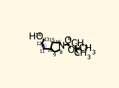 CC(C)(C)OC(=O)N1CCC(/C=C\CO)CC1